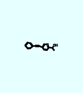 CC(O)c1ccc(C#Cc2ccccc2)cn1